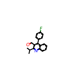 CC(C)c1nc2ccccc2c(-c2ccc(F)cc2)c1C=O